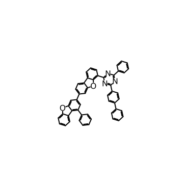 c1ccc(-c2ccc(-c3nc(-c4ccccc4)nc(-c4cccc5c4oc4cc(-c6cc(-c7ccccc7)c7c(c6)oc6ccccc67)ccc45)n3)cc2)cc1